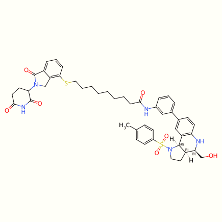 Cc1ccc(S(=O)(=O)N2CC[C@@H]3[C@H](CO)Nc4ccc(-c5cccc(NC(=O)CCCCCCCCSc6cccc7c6CN(C6CCC(=O)NC6=O)C7=O)c5)cc4[C@@H]32)cc1